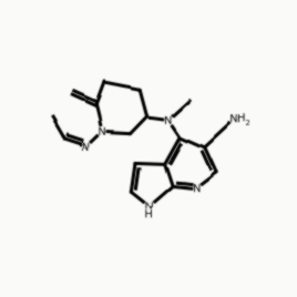 C=C1CCC(N(C)c2c(N)cnc3[nH]ccc23)CN1/N=C\C